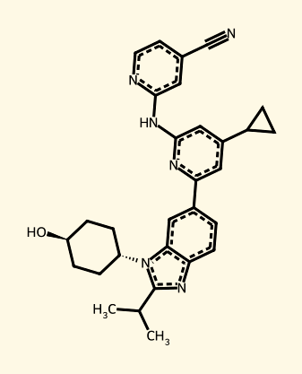 CC(C)c1nc2ccc(-c3cc(C4CC4)cc(Nc4cc(C#N)ccn4)n3)cc2n1[C@H]1CC[C@H](O)CC1